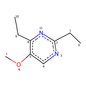 CCc1ncc(OC)c(CC)n1